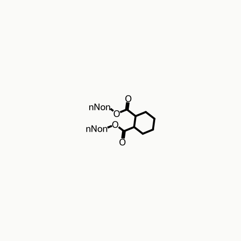 CCCCCCCCCOC(=O)C1CCCCC1C(=O)OCCCCCCCCC